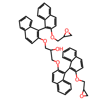 OC(COc1ccc2ccccc2c1-c1c(OCC2CO2)ccc2ccccc12)COc1ccc2ccccc2c1-c1c(OCC2CO2)ccc2ccccc12